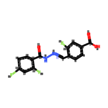 O=C(O)c1ccc(/C=N/NC(=O)c2ccc(F)cc2F)c(F)c1